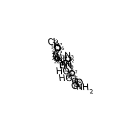 NS(=O)(=O)OC[C@H]1C[C@@H](CNc2ccncc2C(=O)c2ccn(Cc3cccc(Cl)c3)n2)[C@H](O)[C@@H]1O